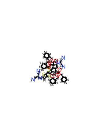 N#CC(C#N)=NC1=CC2=C(c3sc4c(sc5cc(N=C(C#N)C#N)sc54)c3C2(C(=O)OCc2ccccc2)C(=O)OCc2ccccc2)C1(C(=O)OCc1ccccc1)C(=O)OCc1ccccc1